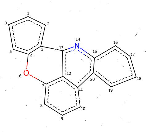 c1ccc2c(c1)Oc1cccc3c1c-2nc1ccccc13